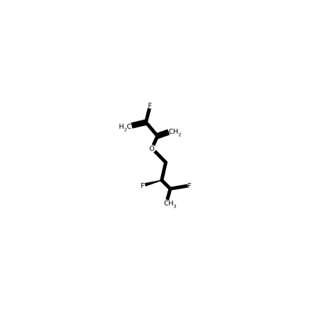 C=C(F)C(=C)OC[C@H](F)C(C)F